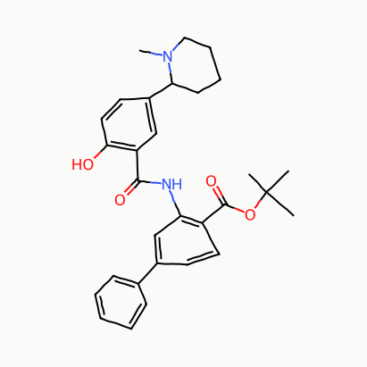 CN1CCCCC1c1ccc(O)c(C(=O)Nc2cc(-c3ccccc3)ccc2C(=O)OC(C)(C)C)c1